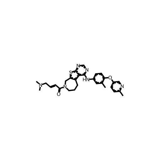 Cc1ccc(Oc2ccc(Nc3ncnc4sc5c(c34)CCCN(C(=O)/C=C/CN(C)C)C5)cc2C)cn1